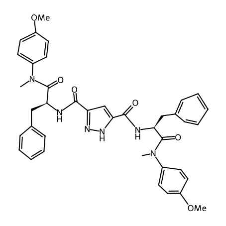 COc1ccc(N(C)C(=O)[C@H](Cc2ccccc2)NC(=O)c2cc(C(=O)N[C@@H](Cc3ccccc3)C(=O)N(C)c3ccc(OC)cc3)[nH]n2)cc1